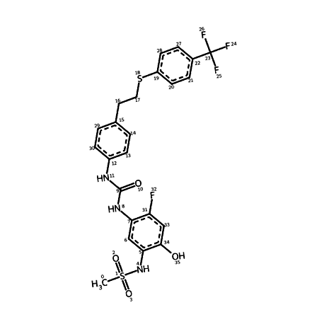 CS(=O)(=O)Nc1cc(NC(=O)Nc2ccc(CCSc3ccc(C(F)(F)F)cc3)cc2)c(F)cc1O